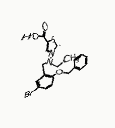 CCN(Cc1cc(Br)ccc1OCc1ccccc1)N1[CH]SC(C(=O)O)=C1